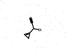 [C]#CC(CC)C1=CC1